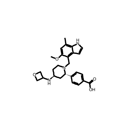 COc1cc(C)c2[nH]ccc2c1CN1CC[C@H](NC2COC2)C[C@H]1c1ccc(C(=O)O)cc1